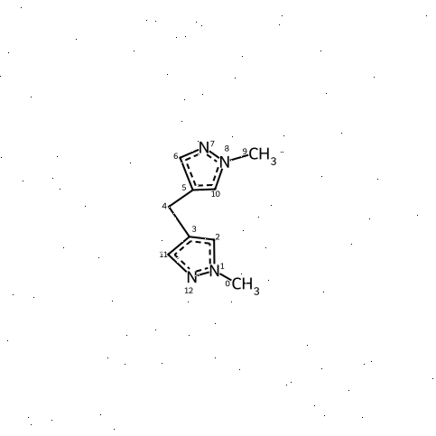 Cn1cc(Cc2cnn(C)c2)cn1